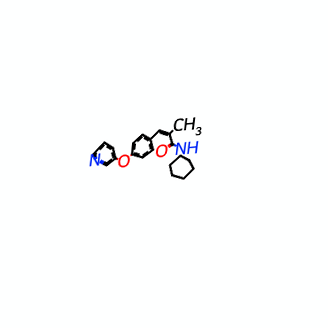 CC(=Cc1ccc(Oc2cccnc2)cc1)C(=O)NC1CCCCC1